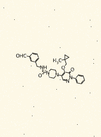 CC1(COc2c(N3CCN([S+]([O-])NCc4cccc(C=O)c4)CC3)cnn(-c3ccccc3)c2=O)CC1